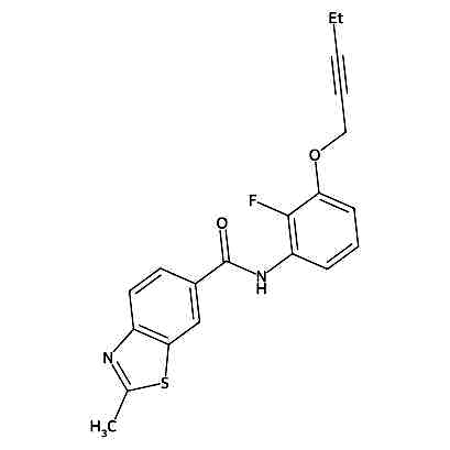 CCC#CCOc1cccc(NC(=O)c2ccc3nc(C)sc3c2)c1F